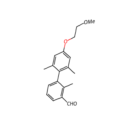 COCCOc1cc(C)c(-c2cccc(C=O)c2C)c(C)c1